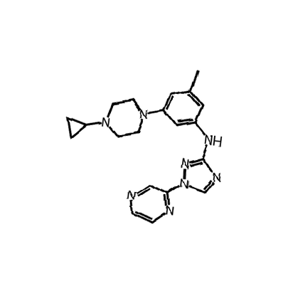 Cc1cc(Nc2ncn(-c3cnccn3)n2)cc(N2CCN(C3CC3)CC2)c1